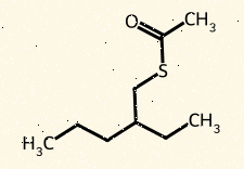 CCCC(CC)CSC(C)=O